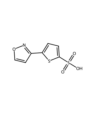 O=S(=O)(O)c1ccc(-c2ccon2)s1